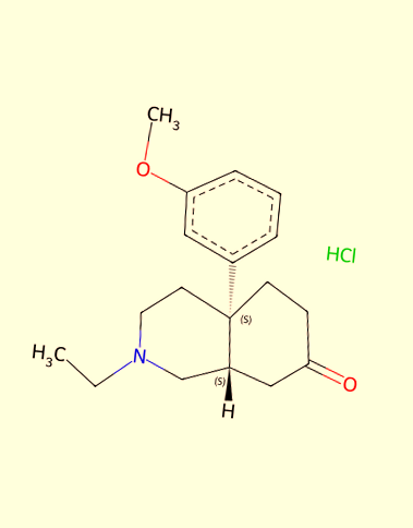 CCN1CC[C@@]2(c3cccc(OC)c3)CCC(=O)C[C@@H]2C1.Cl